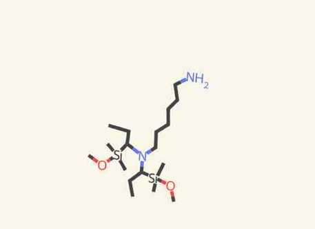 CCC(N(CCCCCCN)C(CC)[Si](C)(C)OC)[Si](C)(C)OC